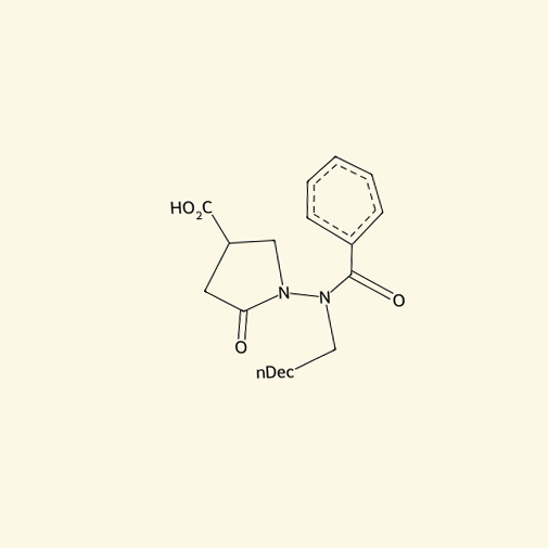 CCCCCCCCCCCN(C(=O)c1ccccc1)N1CC(C(=O)O)CC1=O